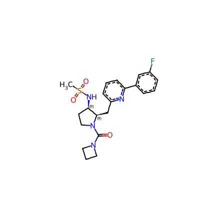 CS(=O)(=O)N[C@@H]1CCN(C(=O)N2CCC2)[C@@H]1Cc1cccc(-c2cccc(F)c2)n1